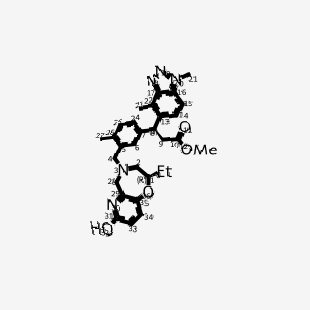 CC[C@@H]1CN(Cc2cc([C@H](CC(=O)OC)c3ccc4c(nnn4C)c3C)ccc2C)Cc2nc(O)ccc2O1